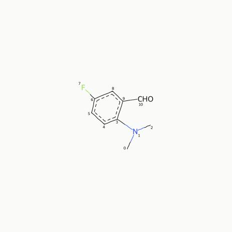 CN(C)c1ccc(F)cc1C=O